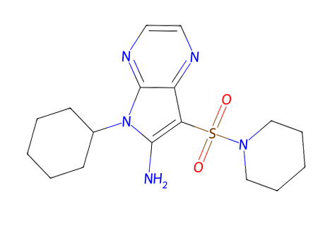 Nc1c(S(=O)(=O)N2CCCCC2)c2nccnc2n1C1CCCCC1